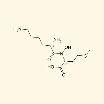 CSCC[C@@H](C(=O)O)N(O)C(=O)[C@@H](N)CCCCN